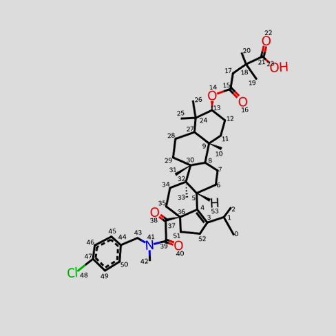 CC(C)C1=C2[C@H]3CCC4[C@@]5(C)CC[C@H](OC(=O)CC(C)(C)C(=O)O)C(C)(C)C5CC[C@@]4(C)[C@]3(C)CC[C@@]2(C(=O)C(=O)N(C)Cc2ccc(Cl)cc2)CC1